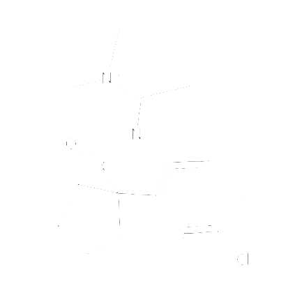 CC(N(C)C)N1C(=O)C2(CCCC2)c2cc(Cl)ccc21